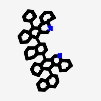 c1ccc(-c2c3ccccc3c(-c3ccc(-c4c5ccccc5c(-c5cccc6ccccc56)c5c4cnc4ccccc45)c4ccccc34)c3cnc4ccccc4c23)cc1